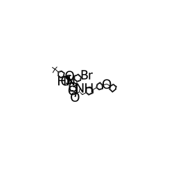 COC(=O)[C@H](Cc1ccc(-c2ccc(Oc3ccccc3)cc2)cc1)NC(=O)c1cc(Br)ccc1NS(=O)(=O)c1ccc(C(C)(C)C)cc1